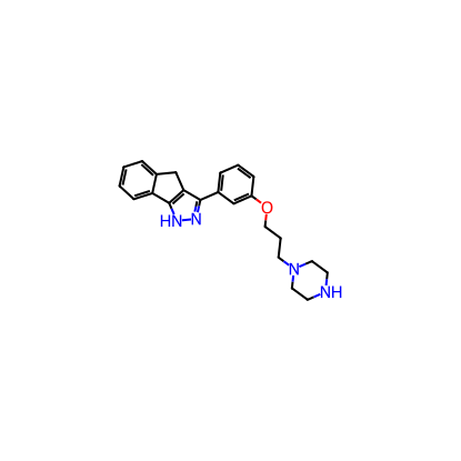 c1cc(OCCCN2CCNCC2)cc(-c2n[nH]c3c2Cc2ccccc2-3)c1